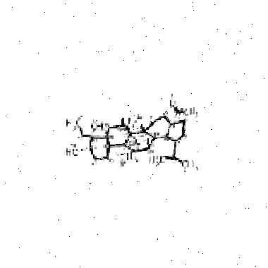 C=C(C)[C@@H]1CC[C@]2(C(C)=O)CC[C@]3(C)C(CCC4[C@@]5(C)CC[C@H](O)[C@@](C)(CC)C5CC[C@]43C)C12